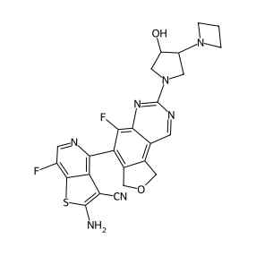 N#Cc1c(N)sc2c(F)cnc(-c3c4c(c5cnc(N6CC(O)C(N7CCC7)C6)nc5c3F)COC4)c12